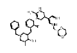 N=C/C(=C\NC[C@H]1COCCO1)C1CNC(N)=C([C@H]2CC=CC(CC3CN(CC4=CCCC=C4)CNC3O)C2F)C1